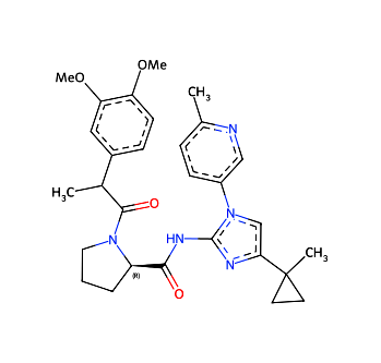 COc1ccc(C(C)C(=O)N2CCC[C@@H]2C(=O)Nc2nc(C3(C)CC3)cn2-c2ccc(C)nc2)cc1OC